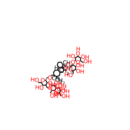 C=C1CC2CCC3(C)[C@](C)(C(=O)O[C@@H]4OC(CO)[C@@H](O)C(O)C4O[C@@H]4OC(CO)[C@@H](O)C(O)[C@@H]4O)CCC[C@@]3(C)[C@@H]2CC[C@@]1(C)COC[C@@H]1OC(CO)[C@@H](O)C(COC[C@@H]2OC(CO)[C@@H](O)C(O)[C@@H]2O)[C@@H]1O[C@@H]1OC(CO)[C@@H](O)C(O)C1O